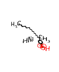 CCCCCCCCCCCCCCCCC(C)c1ccc(S(=O)(=O)O)cc1.[NaH]